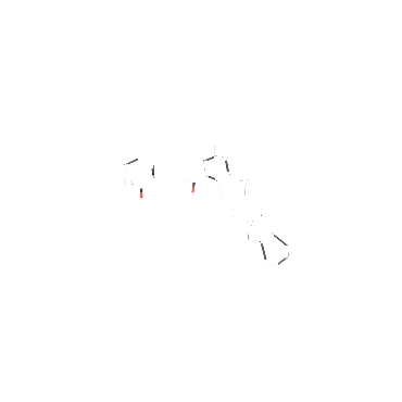 CCN(c1cc(C(F)(F)F)cc(C(=O)NCc2c(C)cc(C)[nH]c2=O)c1C)C1C[C@@H](C)N(Cc2ccccc2)[C@@H](C)C1